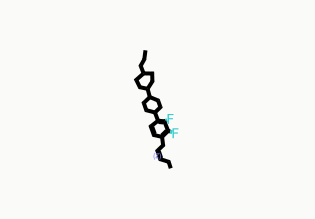 CC/C=C\Cc1ccc(C2CCC(C3CCC(CCC)CC3)CC2)c(F)c1F